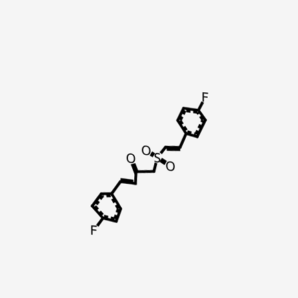 O=C(C=Cc1ccc(F)cc1)CS(=O)(=O)/C=C/c1ccc(F)cc1